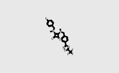 CN(Cc1ccc(F)cc1)c1c(N(C)Cc2ccc(-c3noc(C(F)(F)F)n3)cc2)c(=O)c1=O